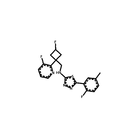 Cc1ccc(F)c(-c2nnc(NCC3(c4ncccc4F)CC(F)C3)s2)c1